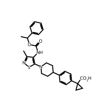 Cc1nsc(N2CCC(c3ccc(C4(C(=O)O)CC4)cc3)CC2)c1NC(=O)OC(C)c1ccccc1